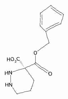 O=C(O)[C@]1(C(=O)OCc2ccccc2)CCCNN1